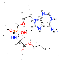 CCCOC(=O)C(C)(C)NP(=O)(O)CO[C@H](C)Cn1cnc2c(N)ncnc21